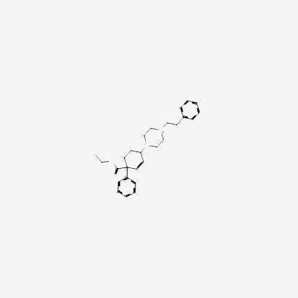 CCOC(=O)C1(c2ccccc2)C=CC(N2CCN(CCc3ccccc3)CC2)CC1